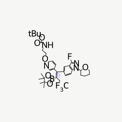 CC(C)(C)OC(=O)NCCOc1ccc(/C(=C(/CC(F)(F)F)B2OC(C)(C)C(C)(C)O2)c2ccc3c(c2)c(F)nn3C2CCCCO2)cn1